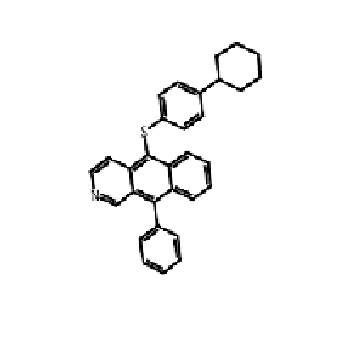 c1ccc(-c2c3ccccc3c(Sc3ccc(C4CCCCC4)cc3)c3ccncc23)cc1